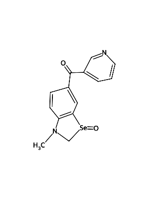 CN1C[Se](=O)c2cc(C(=O)c3cccnc3)ccc21